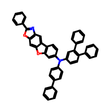 c1ccc(-c2ccc(N(c3ccc(-c4ccccc4)c(-c4ccccc4)c3)c3ccc4c(c3)oc3cc5oc(-c6ccccc6)nc5cc34)cc2)cc1